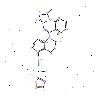 Cc1nnc2nc(N3CCCc4c(C#CC(C)(C)c5ncco5)cccc43)c3c(F)cccc3n12